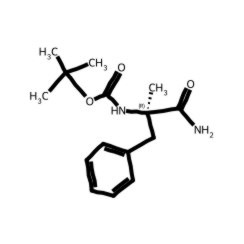 CC(C)(C)OC(=O)N[C@](C)(Cc1ccccc1)C(N)=O